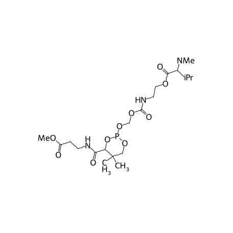 CNC(C(=O)OCCNC(=O)OCOP1OCC(C)(C)C(C(=O)NCCC(=O)OC)O1)C(C)C